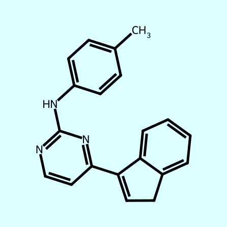 Cc1ccc(Nc2nccc(C3=CCc4ccccc43)n2)cc1